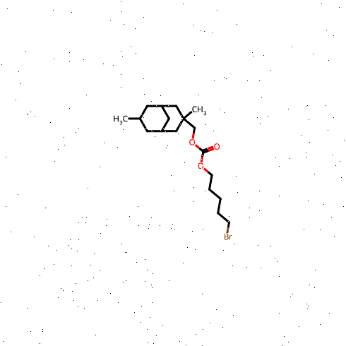 CC1CC2CC(C1)CC(C)(COC(=O)OCCCCCBr)C2